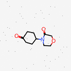 O=C1CCC(N2CCOCC2=O)CC1